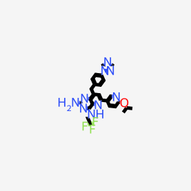 CC(C)Oc1ccc(-c2cc(Cc3ccc(-n4cncn4)cc3)c3nc(N)nc(NCC(F)(F)F)c3n2)cn1